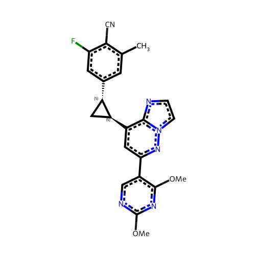 COc1ncc(-c2cc([C@H]3C[C@@H]3c3cc(C)c(C#N)c(F)c3)c3nccn3n2)c(OC)n1